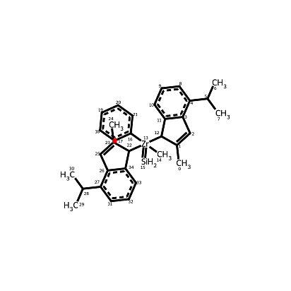 CC1=Cc2c(C(C)C)cccc2[CH]1[Zr]([CH3])(=[SiH2])([c]1ccccc1)[CH]1C(C)=Cc2c(C(C)C)cccc21